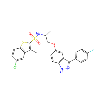 Cc1c(S(=O)(=O)NC(C)COc2ccc3[nH]nc(-c4ccc(F)cc4)c3c2)sc2ccc(Cl)cc12